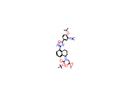 [C-]#[N+]c1cc(-c2nc(-c3cccc4c3CCC[C@@H]4N(CC(=O)OC)C(=O)OC(C)(C)C)no2)ccc1OC(C)C